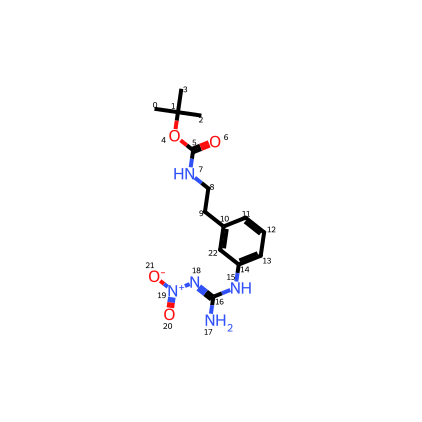 CC(C)(C)OC(=O)NCCc1cccc(NC(N)=N[N+](=O)[O-])c1